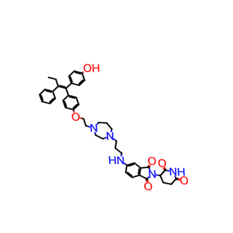 CCC(=C(c1ccc(O)cc1)c1ccc(OCCN2CCCN(CCCNc3ccc4c(c3)C(=O)N(C3CCC(=O)NC3=O)C4=O)CC2)cc1)c1ccccc1